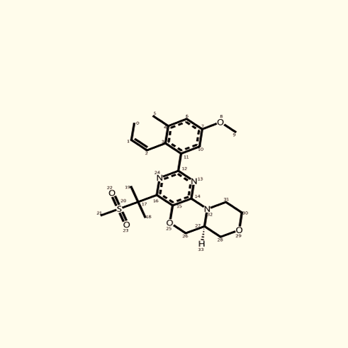 C/C=C\c1c(C)cc(OC)cc1-c1nc2c(c(C(C)(C)S(C)(=O)=O)n1)OC[C@@H]1COCCN21